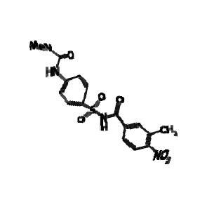 CNC(=O)Nc1ccc(S(=O)(=O)NC(=O)c2ccc([N+](=O)[O-])c(C)c2)cc1